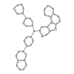 c1ccc(-c2ccc(N(c3ccc(-c4ccc5ccccc5c4)cc3)c3cc4c(cn3)oc3ccc5ccccc5c34)cc2)cc1